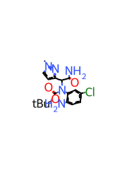 Cn1ccc(C(C(N)=O)N(C(=O)OC(C)(C)C)c2cc(Cl)ccc2N)n1